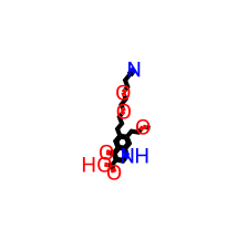 COCCc1cc2[nH]cc(C(=O)O)c(=O)c2cc1CCCOCCOCCC#N